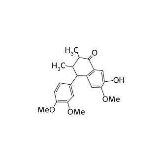 COc1cc2c(cc1O)C(=O)C(C)C(C)C2c1ccc(OC)c(OC)c1